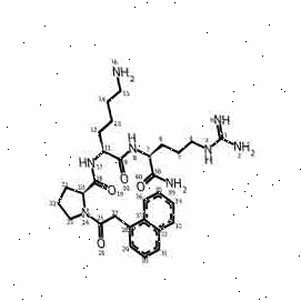 N=C(N)NCCC[C@H](NC(=O)[C@H](CCCCN)NC(=O)[C@@H]1CCCN1C(=O)Cc1cccc2ccccc12)C(N)=O